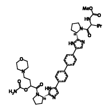 COC(=O)NC(C(=O)N1CCC[C@H]1c1ncc(-c2ccc(-c3ccc(-c4cnc([C@@H]5CCCN5C(=O)C(CCN5CCOCC5)OC(N)=O)[nH]4)cc3)cc2)[nH]1)C(C)C